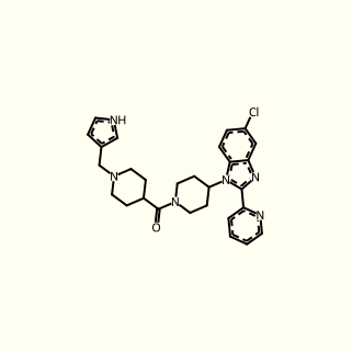 O=C(C1CCN(Cc2cc[nH]c2)CC1)N1CCC(n2c(-c3ccccn3)nc3cc(Cl)ccc32)CC1